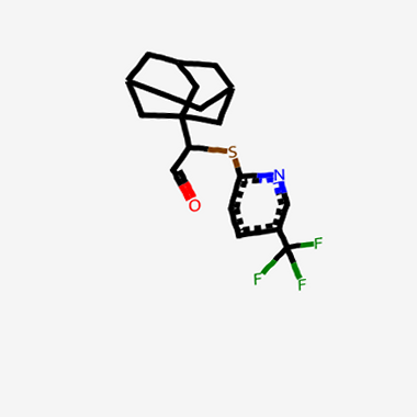 O=CC(Sc1ccc(C(F)(F)F)cn1)C12CC3CC(CC(C3)C1)C2